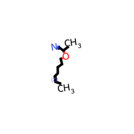 CC/C=C\CCCCOC(C#N)CC